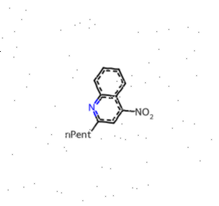 CCCCCc1cc([N+](=O)[O-])c2ccccc2n1